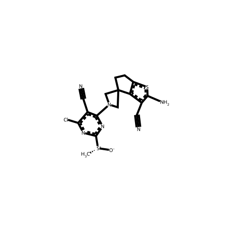 C[S@@+]([O-])c1nc(Cl)c(C#N)c(N2CC3(CCc4sc(N)c(C#N)c43)C2)n1